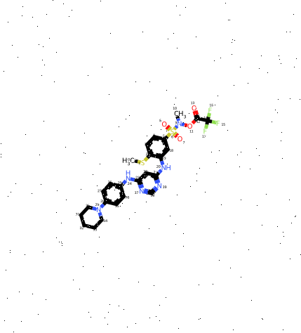 CSc1ccc(S(=O)(=O)N(C)OC(=O)C(F)(F)F)cc1Nc1cc(Nc2ccc(N3CCCCC3)cc2)ncn1